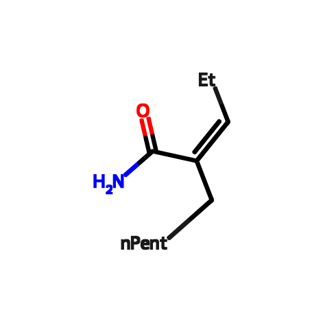 CCC=C(CCCCCC)C(N)=O